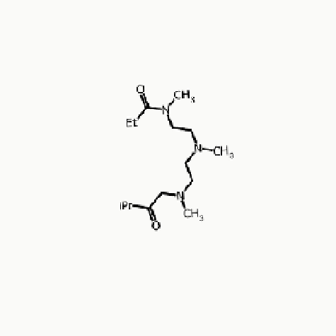 CCC(=O)N(C)CCN(C)CCN(C)CC(=O)C(C)C